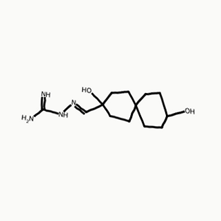 N=C(N)NN=CC1(O)CCC2(CCC(O)CC2)CC1